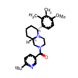 COc1ccc([C@H]2CCC[C@H]3CN(C(=O)c4ccc(C(C)(C)C)nc4)CCN32)c(C)c1C